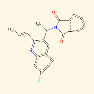 C/C=C/c1nc2cc(F)ccc2cc1C(C)N1C(=O)c2ccccc2C1=O